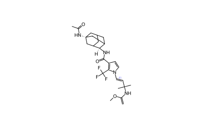 C=C(NC(C)(C)/C=C/n1ccc(C(=O)N[C@H]2C3CC4CC2C[C@](NC(C)=O)(C4)C3)c1C(F)(F)F)OC